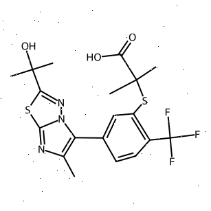 Cc1nc2sc(C(C)(C)O)nn2c1-c1ccc(C(F)(F)F)c(SC(C)(C)C(=O)O)c1